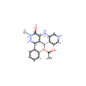 CCCC(=O)OCc1c(-c2ccccc2)nn(CC)c(=O)c1Nc1cccnc1